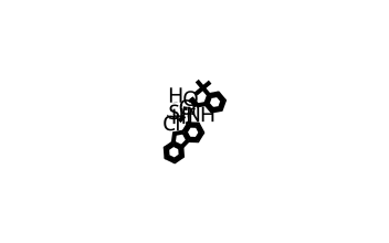 C[SiH](C)[Hf]([Cl])([Cl])([NH]C(=O)c1ccccc1C(C)(C)C)[c]1cccc2c1Cc1ccccc1-2